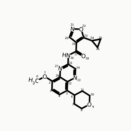 COc1ccc(C2CCOCC2)c2ncc(NC(=O)c3cnoc3C3CC3)nc12